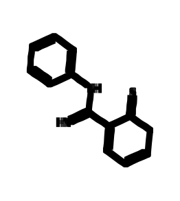 N=C(Nc1ccccc1)C1=CC=CCC1=S